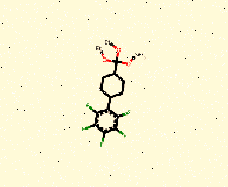 CCOC(O[SiH3])(OCC)C1CCC(c2c(F)c(F)c(F)c(F)c2F)CC1